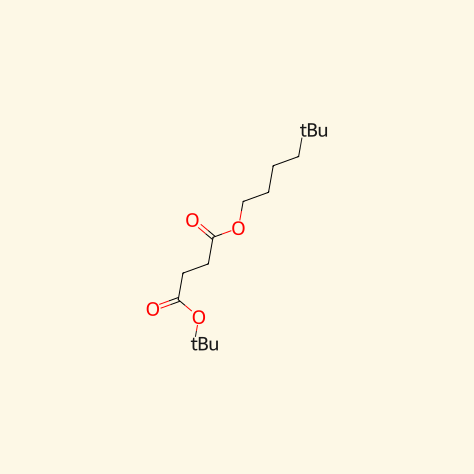 CC(C)(C)CCCCOC(=O)CCC(=O)OC(C)(C)C